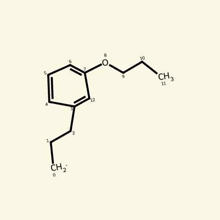 [CH2]CCc1cccc(OCCC)c1